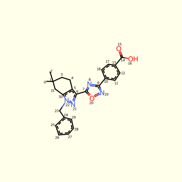 CC1(C)CCc2c(-c3nc(-c4ccc(C(=O)O)cc4)no3)nn(Cc3ccccc3)c2C1